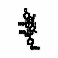 COc1ccc(C(=O)O[C@]2(C(=O)O)[C@H](C)C[C@H]3[C@@H]4C[C@H](F)C5=CC(=O)C=C[C@]5(C)[C@@]4(F)[C@@H](O)C[C@@]32C)cc1